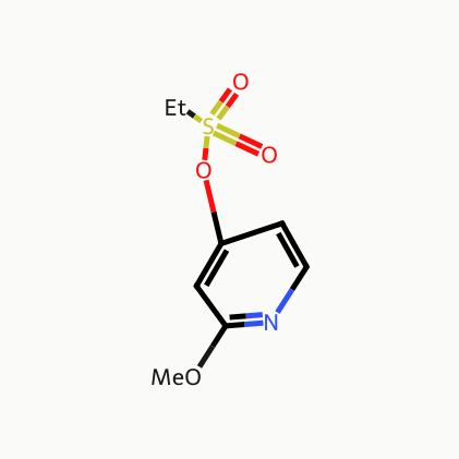 CCS(=O)(=O)Oc1ccnc(OC)c1